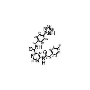 O=C(Cc1ccc(F)cc1)Nc1cc(C(=O)NCc2ccc(-c3nnn[nH]3)cc2)ncn1